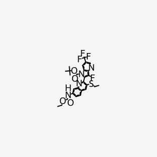 CCOC(=O)Nc1ccc2cc(SCC)c(-c3c(F)c4ncc(C(F)(F)F)cc4n3C(=O)OC(C)(C)C)nc2c1